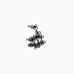 O=[PH]([O-])OCCO[PH](=O)OO.O=[PH]([O-])OCCO[PH](=O)OO.O=[PH]([O-])OCCO[PH](=O)OO.O=[PH]([O-])OCCO[PH](=O)OO.[Na+].[Na+].[Na+].[Na+]